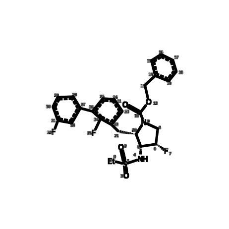 CCS(=O)(=O)N[C@H]1[C@@H](F)CN(C(=O)OCc2ccccc2)[C@H]1Cc1cccc(-c2cccc(F)c2)c1F